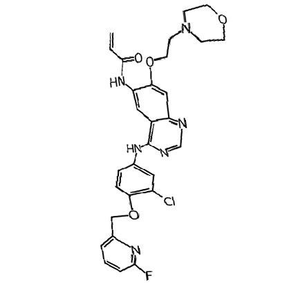 C=CC(=O)Nc1cc2c(Nc3ccc(OCc4cccc(F)n4)c(Cl)c3)ncnc2cc1OCCN1CCOCC1